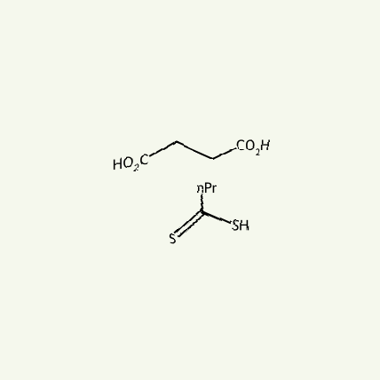 CCCC(=S)S.O=C(O)CCC(=O)O